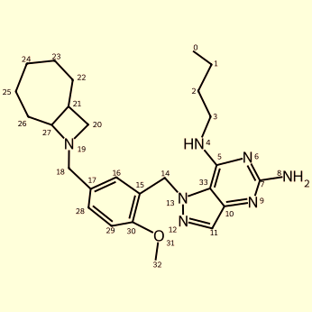 CCCCNc1nc(N)nc2cnn(Cc3cc(CN4CC5CCCCCC54)ccc3OC)c12